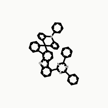 c1ccc(-c2nc(-c3ccccc3)nc(-c3cccc4oc5c6c(ccc5c34)C3(c4ccccc4-6)c4ccccc4N(c4ccccc4)c4ccccc43)n2)cc1